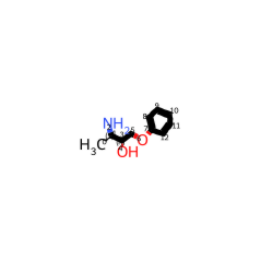 C[C@H](N)[C@@H](O)COc1ccccc1